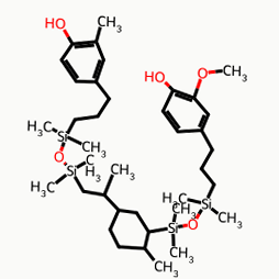 COc1cc(CCC[Si](C)(C)O[Si](C)(C)C2CC(C(C)C[Si](C)(C)O[Si](C)(C)CCCc3ccc(O)c(C)c3)CCC2C)ccc1O